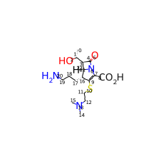 C[C@@H](O)[C@H]1C(=O)N2C(C(=O)O)=C(SCCN(C)C)[C@H](CCCN)[C@H]12